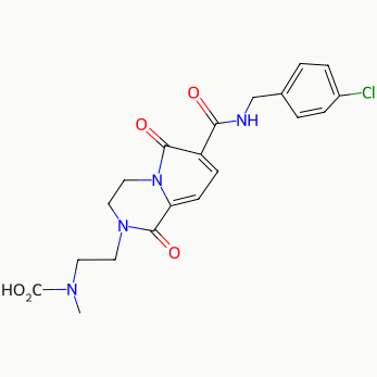 CN(CCN1CCn2c(ccc(C(=O)NCc3ccc(Cl)cc3)c2=O)C1=O)C(=O)O